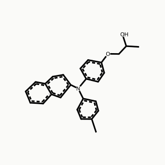 Cc1ccc(N(c2ccc(OCC(C)O)cc2)c2ccc3ccccc3c2)cc1